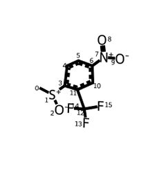 C[S+]([O-])c1ccc([N+](=O)[O-])cc1C(F)(F)F